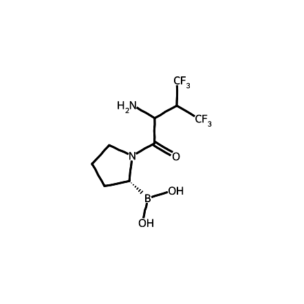 NC(C(=O)N1CCC[C@H]1B(O)O)C(C(F)(F)F)C(F)(F)F